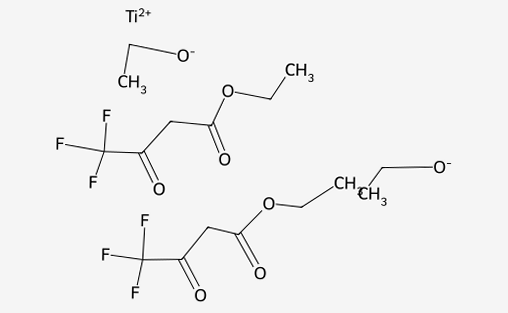 CCOC(=O)CC(=O)C(F)(F)F.CCOC(=O)CC(=O)C(F)(F)F.CC[O-].CC[O-].[Ti+2]